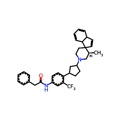 C[C@H]1CN(C2CCC(c3ccc(NC(=O)Cc4ccccc4)cc3C(F)(F)F)C2)CCC12C=CC1C=CC=CC12